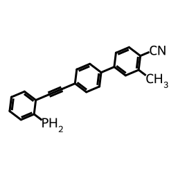 Cc1cc(-c2ccc(C#Cc3ccccc3P)cc2)ccc1C#N